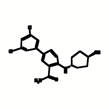 NC(=O)c1cc(-c2cc(Cl)cc(Cl)c2)ccc1N[C@H]1CC[C@H](O)CC1